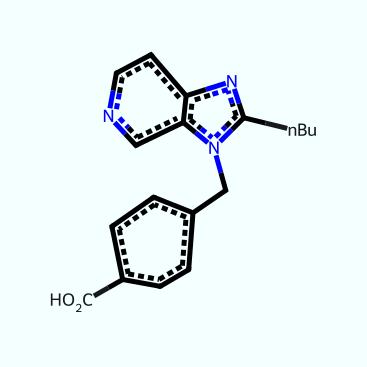 CCCCc1nc2ccncc2n1Cc1ccc(C(=O)O)cc1